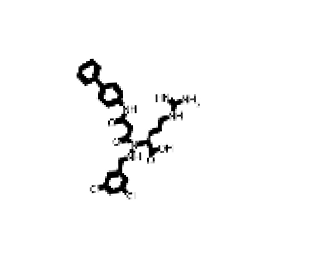 N=C(N)NCCC[C@@H](C(=O)O)N(NCc1cc(Cl)cc(Cl)c1)C(=O)CC(=O)Nc1ccc(-c2ccccc2)cc1